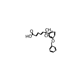 CC(C)(C=CC=CC(=O)O)c1cccc(OCc2ccccc2)c1